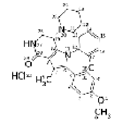 COc1ccc(-c2c(C)c3c(n2-c2ccccc2Cl)[C@@H](N2CCCCC2)CNC3=O)cc1.Cl